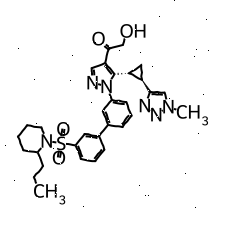 CCCC1CCCCN1S(=O)(=O)c1cccc(-c2cccc(-n3ncc(C(=O)CO)c3[C@@H]3C[C@H]3c3cn(C)nn3)c2)c1